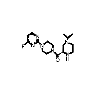 CC(C)N1CCN[C@@H](C(=O)N2CCN(c3nccc(F)n3)CC2)C1